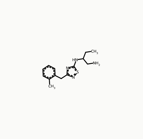 CCC(CN)Nc1nc(Cc2ccccc2C)ns1